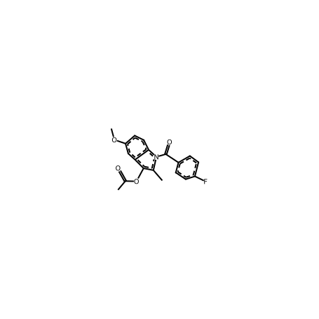 COc1ccc2c(c1)c(OC(C)=O)c(C)n2C(=O)c1ccc(F)cc1